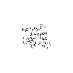 C=C[C@H](OCOC)[C@H](CO[Si](C)(C)C(C)(C)C)[C@H](O)CC(=O)C(C)(C)C